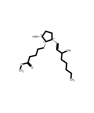 CCCCCC(O)/C=C/[C@H]1CC[C@@H](O)[C@H]1CCCCC(=O)OC